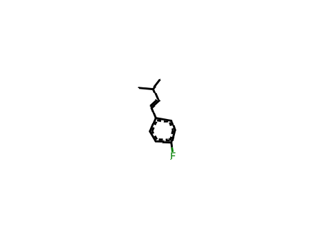 CC(C)C=Cc1ccc(F)cc1